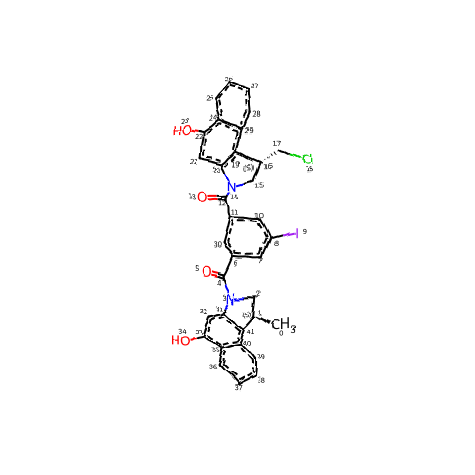 C[C@@H]1CN(C(=O)c2cc(I)cc(C(=O)N3C[C@@H](CCl)c4c3cc(O)c3ccccc43)c2)c2cc(O)c3ccccc3c21